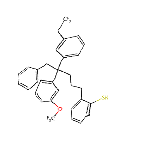 FC(F)(F)Cc1cccc(C(CCCc2ccccc2S)(Cc2ccccc2)c2cccc(OC(F)(F)F)c2)c1